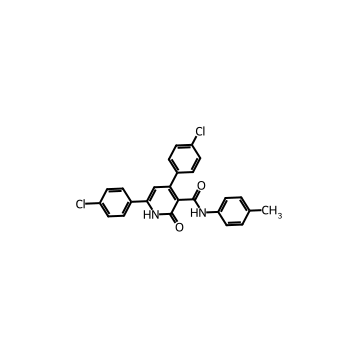 Cc1ccc(NC(=O)c2c(-c3ccc(Cl)cc3)cc(-c3ccc(Cl)cc3)[nH]c2=O)cc1